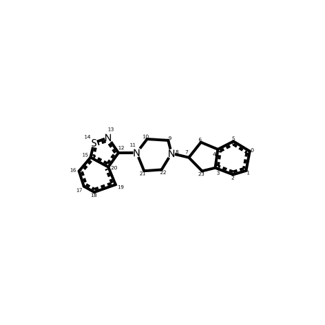 c1ccc2c(c1)CC(N1CCN(c3nsc4ccccc34)CC1)C2